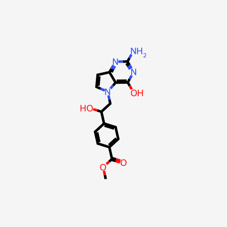 COC(=O)c1ccc(C(O)Cn2ccc3nc(N)nc(O)c32)cc1